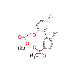 CCc1ccc(S(C)(=O)=O)cc1-c1cc(Cl)ccc1OCC(=O)OC(C)(C)C